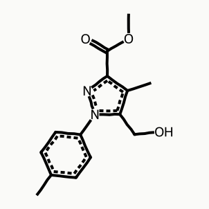 COC(=O)c1nn(-c2ccc(C)cc2)c(CO)c1C